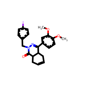 COc1ccc(C2=NN(Cc3ccc(I)cc3)C(=O)C3CC=CCC23)cc1OC